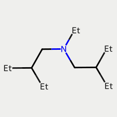 CCC(CC)CN(CC)CC(CC)CC